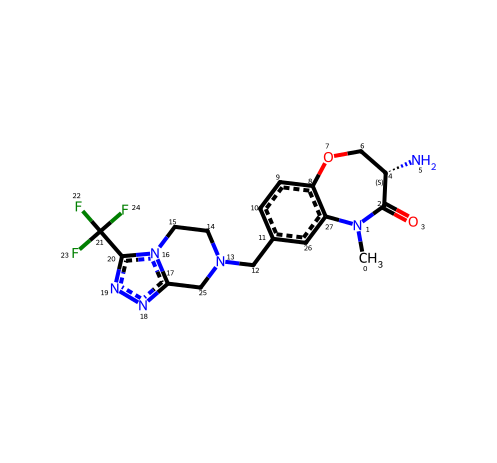 CN1C(=O)[C@@H](N)COc2ccc(CN3CCn4c(nnc4C(F)(F)F)C3)cc21